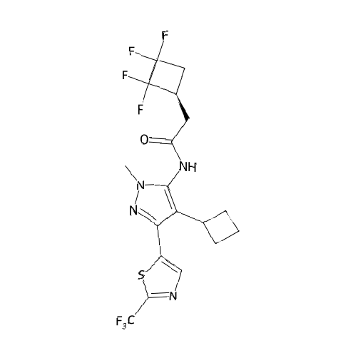 Cn1nc(-c2cnc(C(F)(F)F)s2)c(C2CCC2)c1NC(=O)C[C@@H]1CC(F)(F)C1(F)F